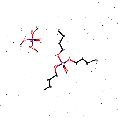 CCCCOP(=O)(OCCCC)OCCCC.COP(=O)(OC)OC